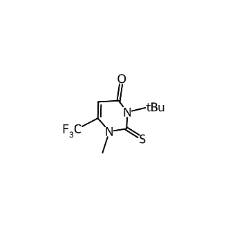 Cn1c(C(F)(F)F)cc(=O)n(C(C)(C)C)c1=S